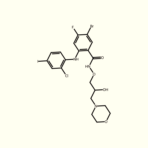 O=C(NOCC(O)CN1CCOCC1)c1cc(Br)c(F)cc1Nc1ccc(I)cc1Cl